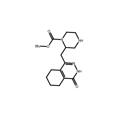 CC(C)(C)OC(=O)N1CCNCC1Cc1n[nH]c(=O)c2c1CCCC2